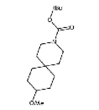 COC1CCC2(CC1)CCN(C(=O)OC(C)(C)C)CC2